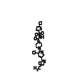 Cc1cnc(-c2cnc(N3CCN(C(=O)NS(=O)(=O)c4ccc(Cl)s4)CC3)c(Cl)c2)o1